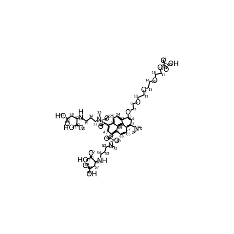 CN(C)c1cc(OCCOCCOCCOCCOS(=O)(=O)O)c2ccc3c(S(=O)(=O)N(C)CCCNC(CC(=O)O)C(=O)O)cc(S(=O)(=O)N(C)CCCNC(CC(=O)O)C(=O)O)c4ccc1c2c34